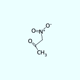 CC(=O)C[N+](=O)[O-]